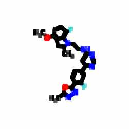 COc1ccc(F)c2c1cc(C)n2CCNc1cc(-c2ccc(-c3nnc(C)o3)c(F)c2)ncn1